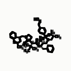 Cc1cc(CN2CCN([C@H](C(=O)N[C@@H](Cc3ccccc3)[C@H](O)CN(CC(C)C)S(=O)(=O)c3ccc(C=NO)cc3)C(C)(C)C)C2=O)c2ccccc2n1